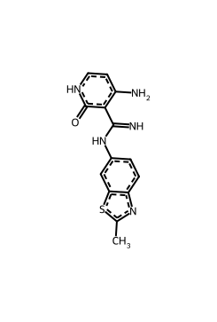 Cc1nc2ccc(NC(=N)c3c(N)cc[nH]c3=O)cc2s1